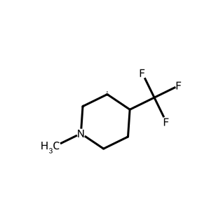 CN1C[CH]C(C(F)(F)F)CC1